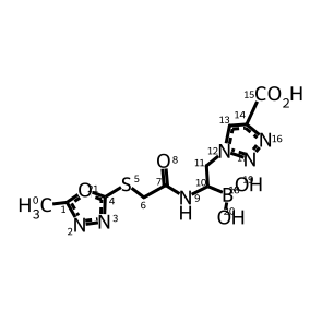 Cc1nnc(SCC(=O)NC(Cn2cc(C(=O)O)nn2)B(O)O)o1